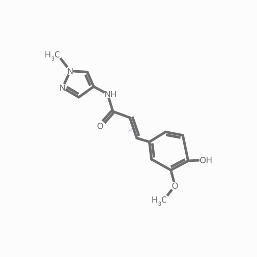 COc1cc(/C=C/C(=O)Nc2cnn(C)c2)ccc1O